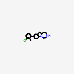 Cc1c(Cl)cccc1-c1ccc2c(c1)CC1CCNCCN21